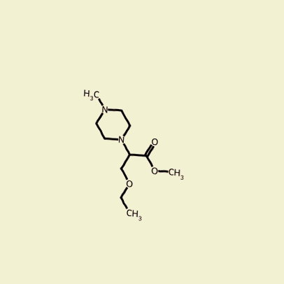 CCOCC(C(=O)OC)N1CCN(C)CC1